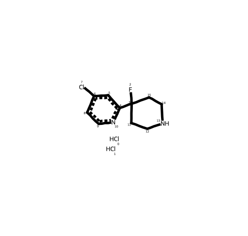 Cl.Cl.FC1(c2cc(Cl)ccn2)CCNCC1